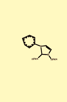 CCCCCCC1N(CCCCCC)C=CN1c1ccccc1